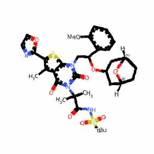 COc1ccccc1C(Cn1c(=O)n(C(C)(C)C(=O)NS(=O)(=O)C(C)(C)C)c(=O)c2c(C)c(-c3ncco3)sc21)OC1C[C@H]2CC[C@@H](C1)O2